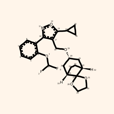 FC(F)Oc1ccccc1-c1noc(C2CC2)c1CO[C@@H]1C[C@H]2CC[C@@H](C1)C21OCCO1